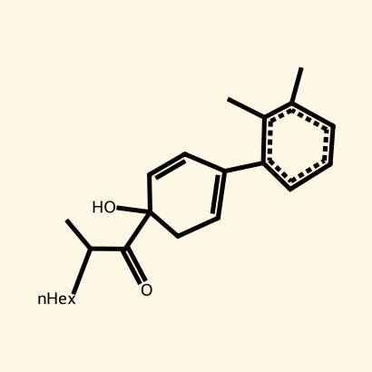 CCCCCCC(C)C(=O)C1(O)C=CC(c2cccc(C)c2C)=CC1